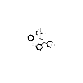 C[C@H]1[C@@H](c2ccccc2)N(C(=O)C[C@@H](c2cc(F)cc(F)c2)C2CCOCC2)C(=O)N1C